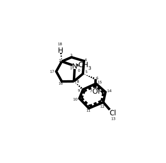 CN1[C@@H]2CC[C@H](CO)[C@@]1(c1ccc(Cl)cc1)CC2